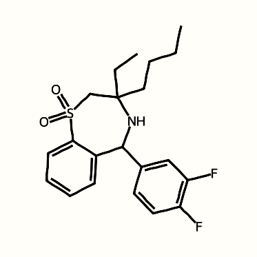 CCCCC1(CC)CS(=O)(=O)c2ccccc2C(c2ccc(F)c(F)c2)N1